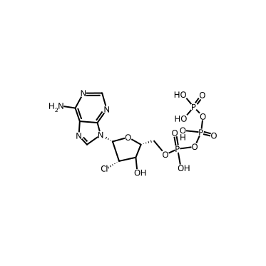 Nc1ncnc2c1ncn2[C@@H]1O[C@H](COP(=O)(O)OP(=O)(O)OP(=O)(O)O)C(O)[C@@H]1Cl